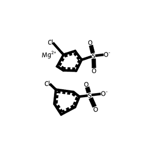 O=S(=O)([O-])c1cccc(Cl)c1.O=S(=O)([O-])c1cccc(Cl)c1.[Mg+2]